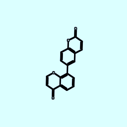 O=c1ccc2cc(-c3cccc4c(=O)ccoc34)ccc2o1